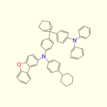 c1ccc(N(c2ccccc2)c2ccc(C3(c4ccc(N(c5ccc(C6CCCCC6)cc5)c5ccc6oc7ccccc7c6c5)cc4)CC4CCC3C4)cc2)cc1